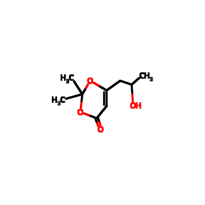 CC(O)CC1=CC(=O)OC(C)(C)O1